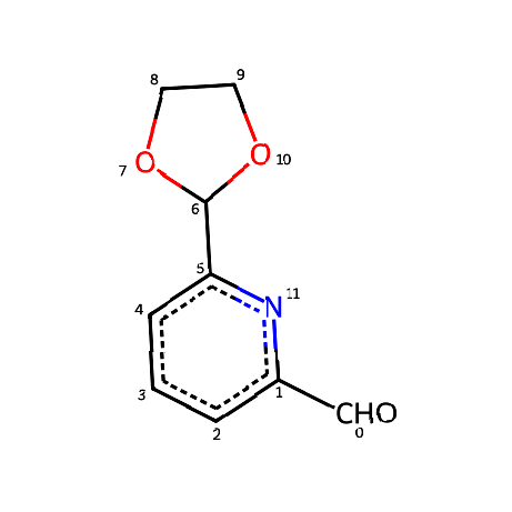 O=Cc1cccc(C2OCCO2)n1